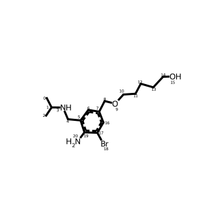 CC(C)NCc1cc(COCCCCCO)cc(Br)c1N